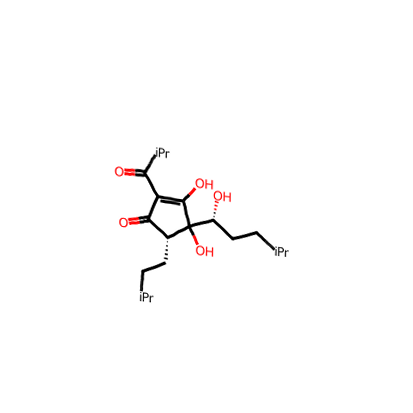 CC(C)CC[C@@H](O)C1(O)C(O)=C(C(=O)C(C)C)C(=O)[C@H]1CCC(C)C